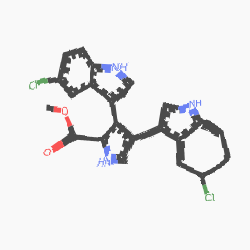 COC(=O)c1[nH]cc(-c2c[nH]c3c2=CC(Cl)CC=3)c1-c1c[nH]c2ccc(Cl)cc12